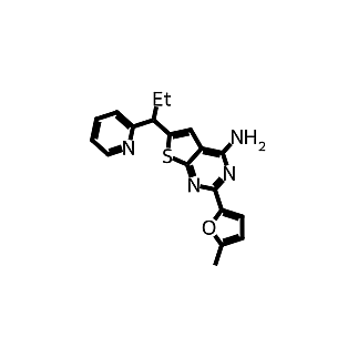 CCC(c1ccccn1)c1cc2c(N)nc(-c3ccc(C)o3)nc2s1